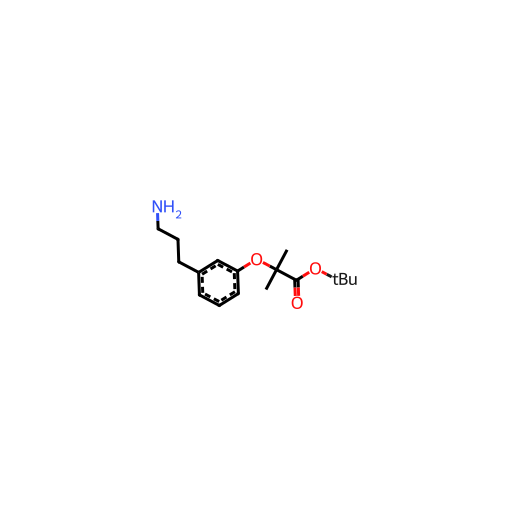 CC(C)(C)OC(=O)C(C)(C)Oc1cccc(CCCN)c1